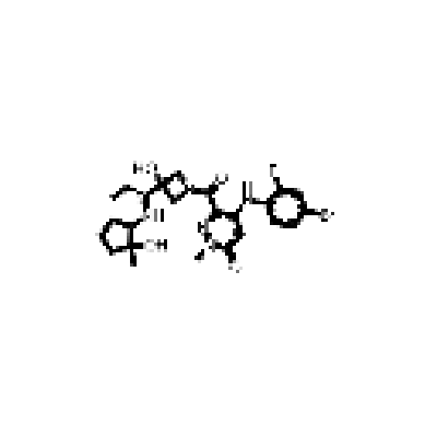 CC[C@H](NC1CCCC1(C)O)C1(O)CN(C(=O)c2nn(C)c(=O)cc2Nc2ccc(Br)cc2F)C1